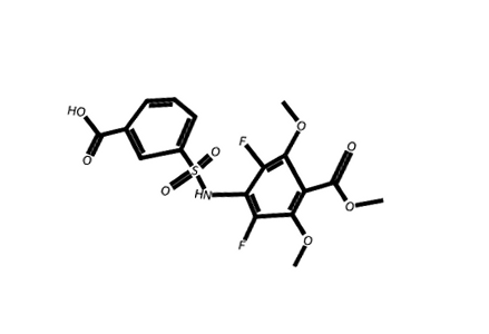 COC(=O)c1c(OC)c(F)c(NS(=O)(=O)c2cccc(C(=O)O)c2)c(F)c1OC